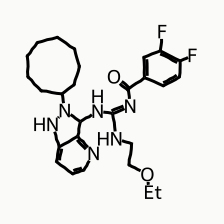 CCOCCN/C(=N/C(=O)c1ccc(F)c(F)c1)NC1c2ncccc2NN1C1CCCCCCCC1